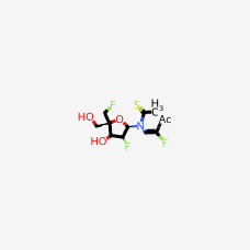 CC(=O)/C(F)=C\N(C(C)=S)[C@@H]1O[C@@](CO)(CF)C(O)[C@@H]1F